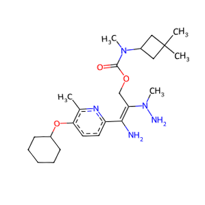 Cc1nc(/C(N)=C(\COC(=O)N(C)C2CC(C)(C)C2)N(C)N)ccc1OC1CCCCC1